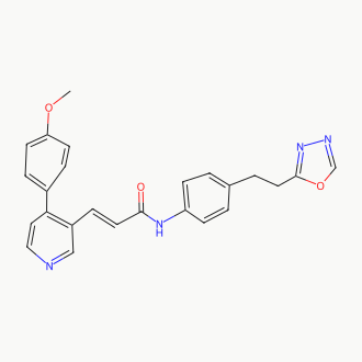 COc1ccc(-c2ccncc2/C=C/C(=O)Nc2ccc(CCc3nnco3)cc2)cc1